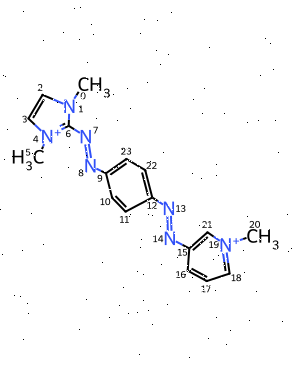 Cn1cc[n+](C)c1N=Nc1ccc(N=Nc2ccc[n+](C)c2)cc1